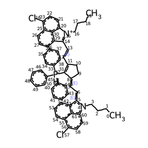 CCCCn1/c(=C/C=C2\CCC(/C=C/C3=[N+](CCCC)c4ccc(Cl)c5cccc3c45)=C2[PH](c2ccccc2)(c2ccccc2)c2ccccc2)c2cccc3c(Cl)ccc1c32